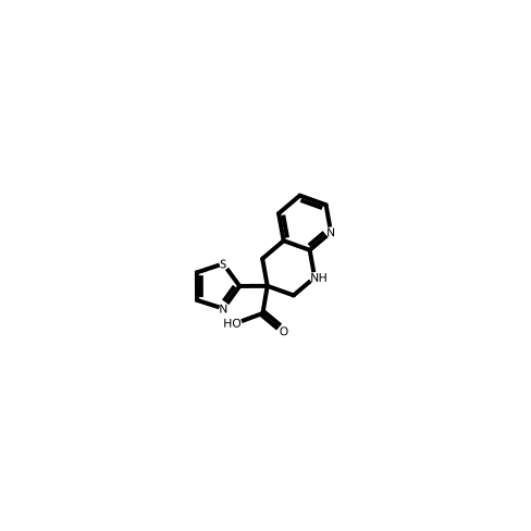 O=C(O)C1(c2nccs2)CNc2ncccc2C1